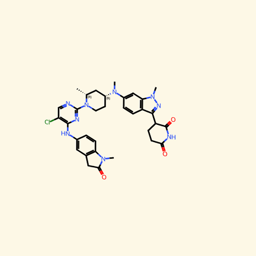 C[C@@H]1C[C@H](N(C)c2ccc3c(C4CCC(=O)NC4=O)nn(C)c3c2)CCN1c1ncc(Cl)c(Nc2ccc3c(c2)CC(=O)N3C)n1